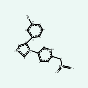 O=[SH](=O)Cc1ccc(-n2cncc2-c2cccc(F)c2)cn1